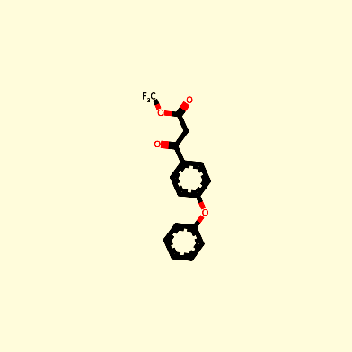 O=C(CC(=O)c1ccc(Oc2ccccc2)cc1)OC(F)(F)F